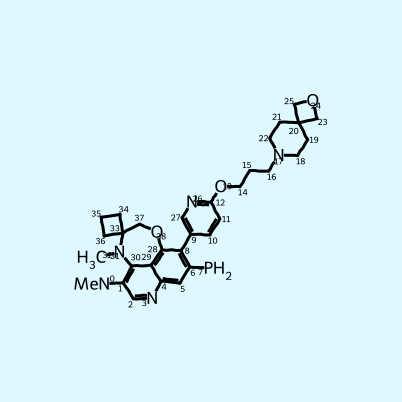 CNc1cnc2cc(P)c(-c3ccc(OCCCN4CCC5(CC4)COC5)nc3)c3c2c1N(C)C1(CCC1)CO3